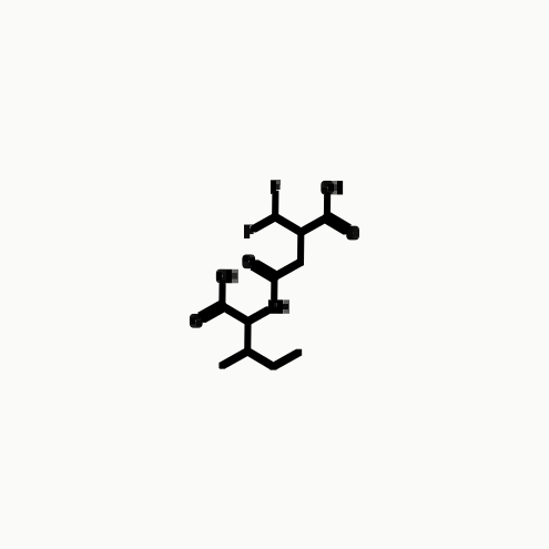 CCC(C)C(NC(=O)CC(C(=O)O)C(F)F)C(=O)O